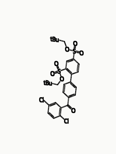 CC(C)(C)COS(=O)(=O)c1ccc(-c2ccc(C(=O)c3cc(Cl)ccc3Cl)cc2)c(S(=O)(=O)OCC(C)(C)C)c1